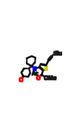 COC(=O)c1sc(C#CC(C)(C)C)cc1N(C(C)=O)C1(C2CCC(=O)CC2)CCCCC1